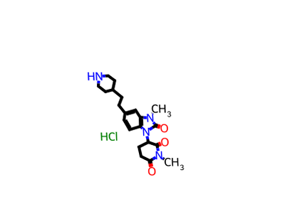 CN1C(=O)CCC(n2c(=O)n(C)c3cc(CCC4CCNCC4)ccc32)C1=O.Cl